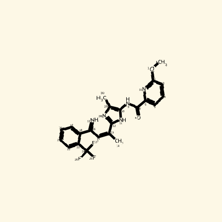 COc1cccc(C(=O)Nc2[nH]c(/C(C)=C\C(=N)c3ccccc3C(F)(F)F)nc2C)n1